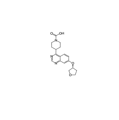 O=C(O)N1CCC(c2ncnc3cc(O[C@H]4CCOC4)ccc23)CC1